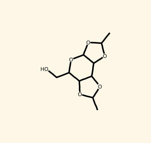 CC1OC2OC(CO)C3OC(C)OC3C2O1